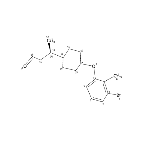 Cc1c(Br)cccc1OC1CCC([C@H](C)CC=O)CC1